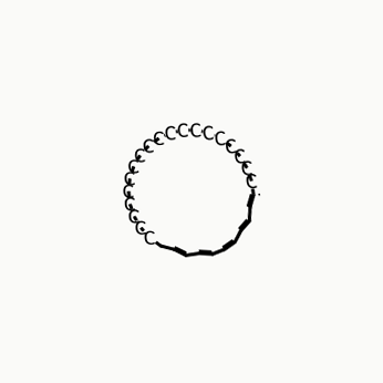 [C]1=C/C=C/C=C\C=C\C=C\CCCCCCCCCCCCCCCCCCCC/1